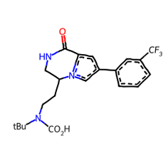 CC(C)(C)N(CCC1CNC(=O)c2cc(-c3cccc(C(F)(F)F)c3)cn21)C(=O)O